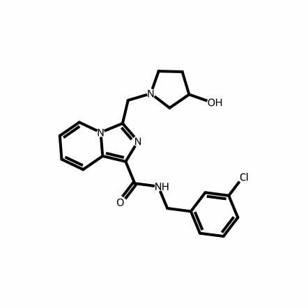 O=C(NCc1cccc(Cl)c1)c1nc(CN2CCC(O)C2)n2ccccc12